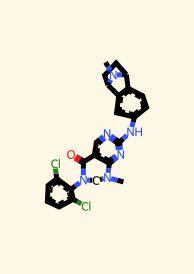 CN1CN(c2c(Cl)cccc2Cl)C(=O)c2cnc(Nc3ccc4c(c3)C3CCC4N3C)nc21